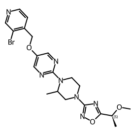 CO[C@@H](C)c1nc(N2CCN(c3ncc(OCc4ccncc4Br)cn3)C(C)C2)no1